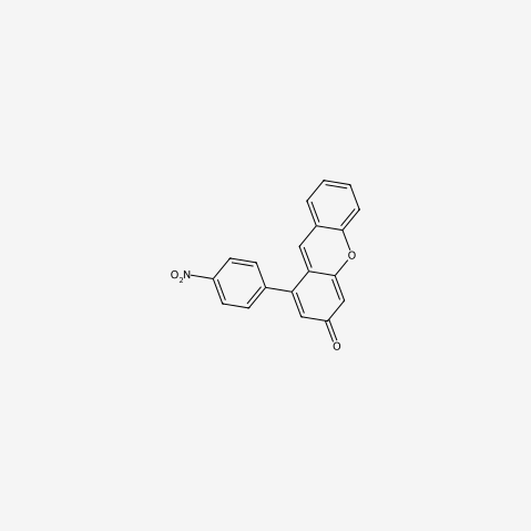 O=c1cc2oc3ccccc3cc-2c(-c2ccc([N+](=O)[O-])cc2)c1